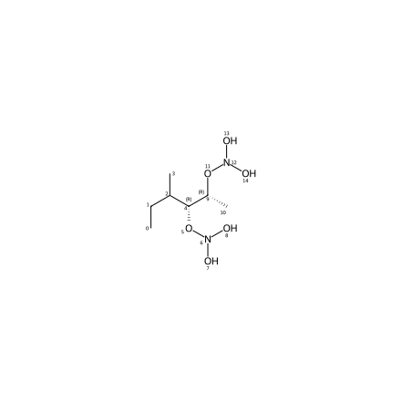 CCC(C)[C@@H](ON(O)O)[C@@H](C)ON(O)O